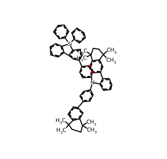 CC1(C)CCC(C)(C)c2cc(-c3ccc(N(c4ccc(-c5ccc6c(c5)-c5ccccc5[Si]6(c5ccccc5)c5ccccc5)cc4)c4ccccc4-c4ccc5c(c4)C(C)(C)CCC5(C)C)cc3)ccc21